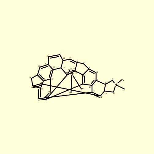 C[N+]1(C)CC2c3cc4c5c6c3-c3c(cc7c8c3c-6c3c6c9c(cc(c68)C7)C=CC6C=C(C4)C54C[N+](C)(C)CC34C96)C2C1